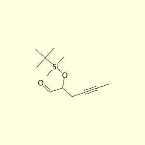 CC#CCC(C=O)O[Si](C)(C)C(C)(C)C